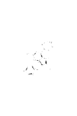 Cc1nc(C2CCNCC2)c2nc(C)c(Oc3ccccc3)c-2[nH]1